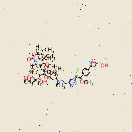 CC[C@@H](OC)[C@@]1(C)OC(=O)N(CCOCCOC)[C@H]1[C@@H](C)C(=O)[C@H](C)C[C@@](C)(OC)[C@H](O[C@H]1C[C@@H](N(C)CCc2cn([C@H](CF)[C@H](OC)c3ccc(C4=NO[C@H](CO)C4)cc3)nn2)C[C@@H](C)O1)[C@@H](C)[C@H](O)[C@@H](C)C=O